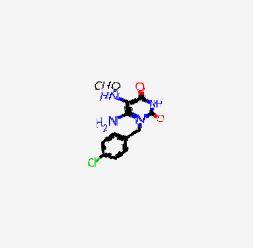 Nc1c(NC=O)c(=O)[nH]c(=O)n1Cc1ccc(Cl)cc1